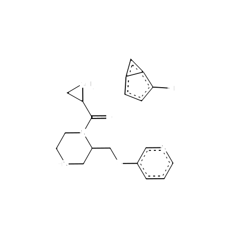 Cc1ccc2cc1-2.O=C(C1C[SiH2]1)N1CCNCC1COc1cccnc1